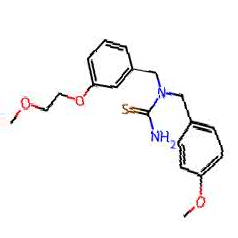 COCCOc1cccc(CN(Cc2ccc(OC)cc2)C(N)=S)c1